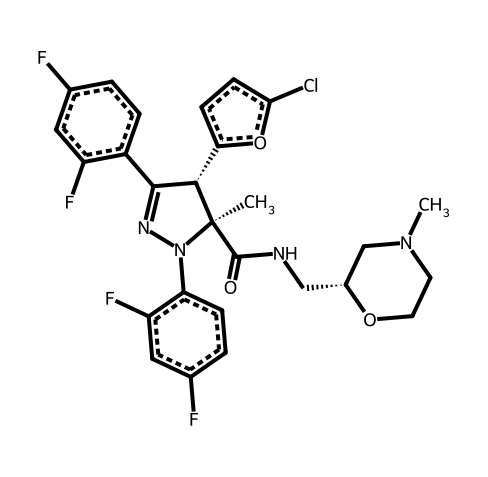 CN1CCO[C@H](CNC(=O)[C@]2(C)[C@@H](c3ccc(Cl)o3)C(c3ccc(F)cc3F)=NN2c2ccc(F)cc2F)C1